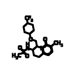 Cc1ccc2n(c1=O)C(COC1CCC(C(F)(F)F)CC1)C(NS(C)(=O)=O)CC2